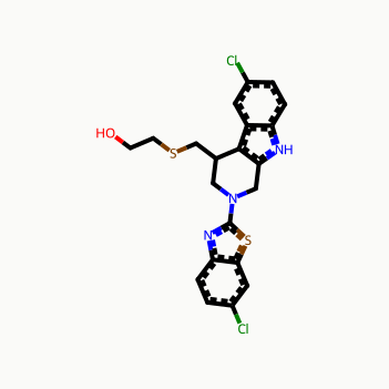 OCCSCC1CN(c2nc3ccc(Cl)cc3s2)Cc2[nH]c3ccc(Cl)cc3c21